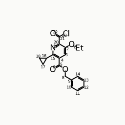 CCOc1cc(C(=O)OCc2ccccc2)c(C2CC2)nc1C(=O)Cl